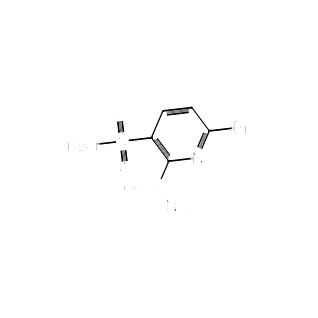 CCCCS(=O)(=O)c1ccc(Br)nc1C(=O)[O-].[Na+]